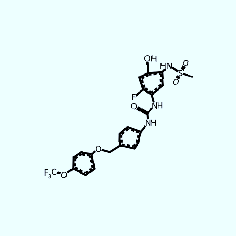 CS(=O)(=O)Nc1cc(NC(=O)Nc2ccc(COc3ccc(OC(F)(F)F)cc3)cc2)c(F)cc1O